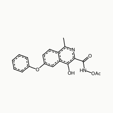 CC(=O)ONC(=O)c1nc(C)c2ccc(Oc3ccccc3)cc2c1O